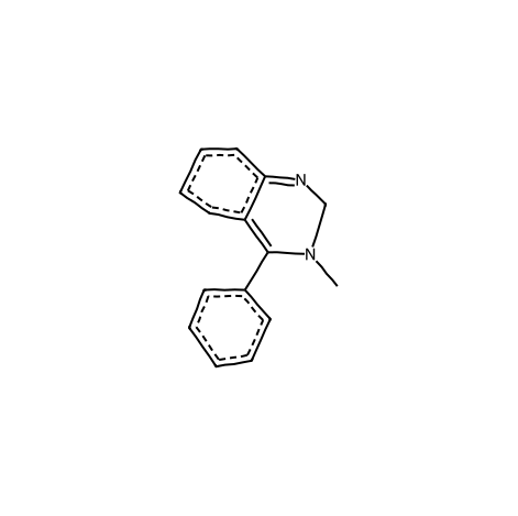 CN1CN=c2ccccc2=C1c1ccccc1